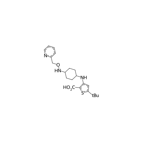 CC(C)(C)c1cc(NC2CCC(NOCc3ccccn3)CC2)c(C(=O)O)s1